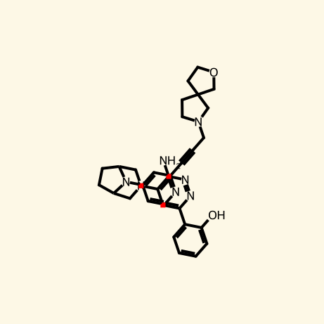 Nc1nnc(-c2ccccc2O)cc1N1CC2CCC(C1)N2c1ccnc(C#CCN2CCC3(CCOC3)C2)c1